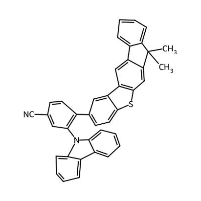 CC1(C)c2ccccc2-c2cc3c(cc21)sc1ccc(-c2ccc(C#N)cc2-n2c4ccccc4c4ccccc42)cc13